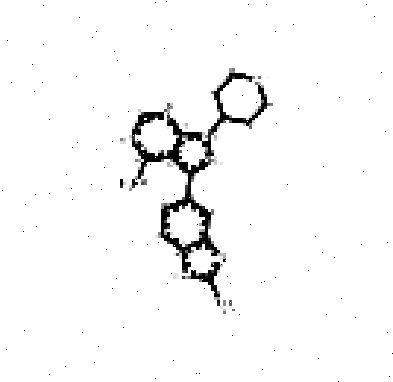 Cc1nc2cc(-c3nn(C4CCOCC4)c4ncnc(N)c34)ccc2o1